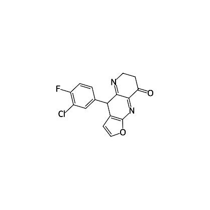 O=C1CCN=C2C1=Nc1occc1C2c1ccc(F)c(Cl)c1